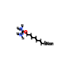 CCCCCCCCCCCCCCCCOC(N(C)C)=[N+](C)C